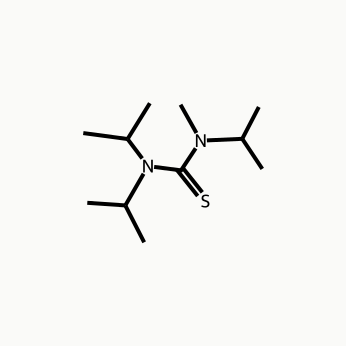 CC(C)N(C)C(=S)N(C(C)C)C(C)C